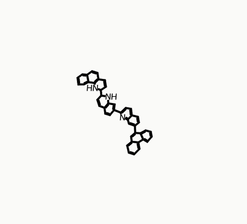 C1=CC(C2C=Cc3ccc4ccccc4c3N2)Nc2cc(-c3ccc4ccc(-c5cc6ccccc6c6ccccc56)cc4n3)ccc21